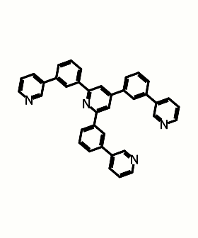 c1cncc(-c2cccc(-c3cc(-c4cccc(-c5cccnc5)c4)nc(-c4cccc(-c5cccnc5)c4)c3)c2)c1